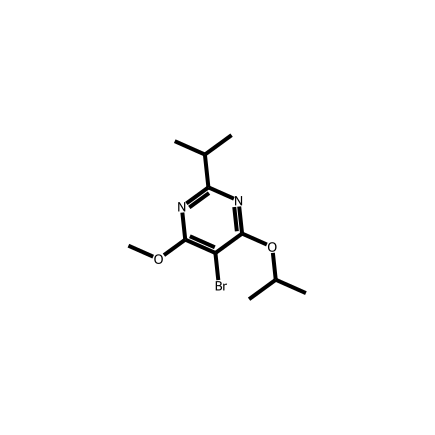 COc1nc(C(C)C)nc(OC(C)C)c1Br